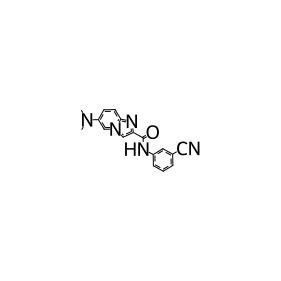 CN(C)c1ccc2nc(C(=O)Nc3cccc(C#N)c3)cn2c1